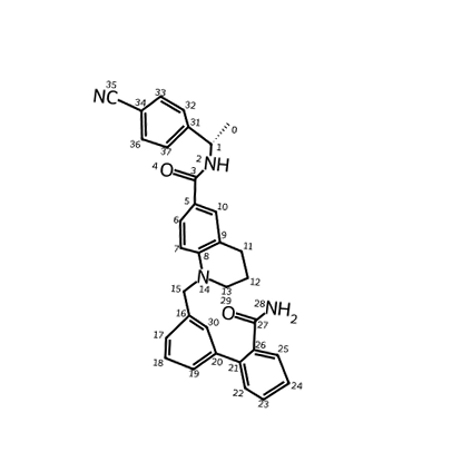 C[C@H](NC(=O)c1ccc2c(c1)CCCN2Cc1cccc(-c2ccccc2C(N)=O)c1)c1ccc(C#N)cc1